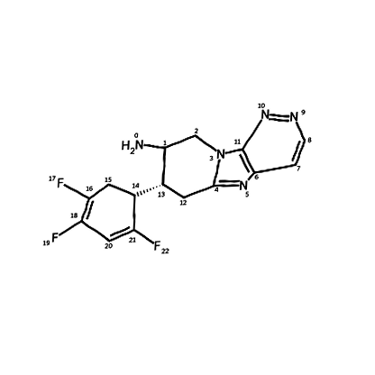 NC1Cn2c(nc3ccnnc32)C[C@@H]1C1CC(F)=C(F)C=C1F